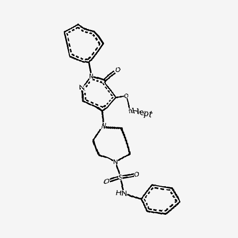 CCCCCCCOc1c(N2CCN(S(=O)(=O)Nc3ccccc3)CC2)cnn(-c2ccccc2)c1=O